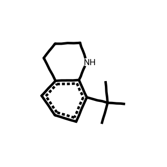 CC(C)(C)c1cccc2c1NCCC2